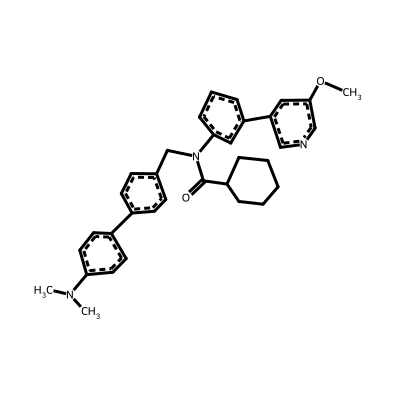 COc1cncc(-c2cccc(N(Cc3ccc(-c4ccc(N(C)C)cc4)cc3)C(=O)C3CCCCC3)c2)c1